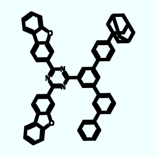 c1ccc(-c2cccc(-c3cc(-c4ccc(C56CC7CC(CC(C7)C5)C6)cc4)cc(-c4nc(-c5ccc6c(c5)oc5ccccc56)nc(-c5ccc6c(c5)oc5ccccc56)n4)c3)c2)cc1